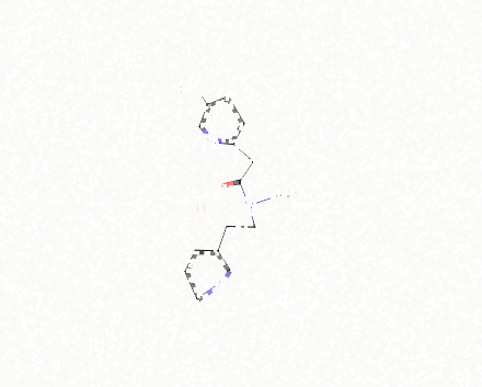 CCCN(C[C@@H](O)c1cccnc1)C(=O)Cc1ccc(C(F)(F)F)cn1